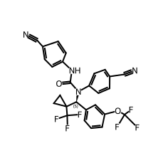 N#Cc1ccc(NC(=O)N(c2ccc(C#N)cc2)[C@@H](c2cccc(OC(F)(F)F)c2)C2(C(F)(F)F)CC2)cc1